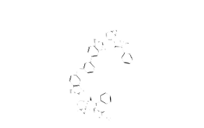 COC(=O)NC(C(=O)N1[C@@H]2C[C@@H]2C[C@H]1c1nc2cc(Oc3cccc(-c4ccc5[nH]c([C@@H]6C[C@H]7C[C@H]7N6C(=O)C(NC(=O)O)c6ccccc6)nc5c4)c3)ccc2[nH]1)c1ccccc1